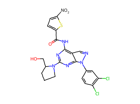 O=C(Nc1nc(N2CCCC2CO)nc2c1cnn2-c1ccc(Cl)c(Cl)c1)c1ccc([N+](=O)[O-])s1